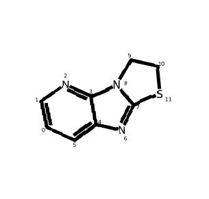 c1cnc2c(c1)nc1n2CCS1